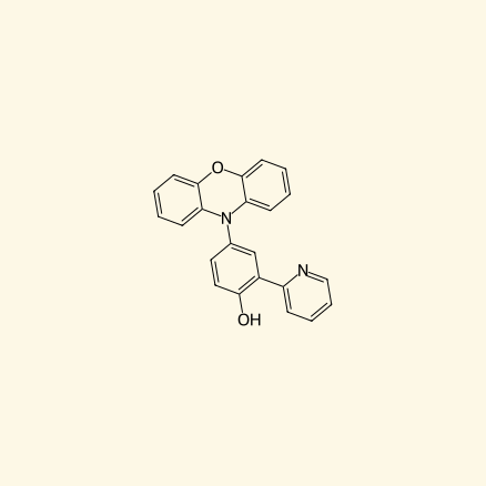 Oc1ccc(N2c3ccccc3Oc3ccccc32)cc1-c1ccccn1